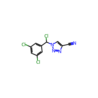 N#Cc1cn(C(Cl)c2cc(Cl)cc(Cl)c2)nn1